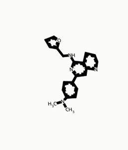 CN(C)c1ccc(-c2cc3ncccc3c(NCc3ccco3)n2)cc1